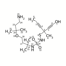 CC#CC(C)(C#CO)SNS(=O)(=O)NC(C)(C)CCOC(C)(C)CCN